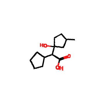 CC1CCC(O)(C(C(=O)O)C2CCCC2)C1